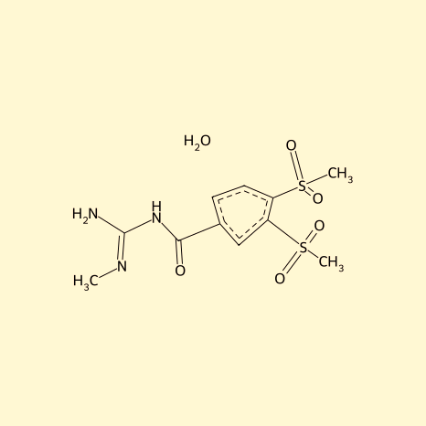 CN=C(N)NC(=O)c1ccc(S(C)(=O)=O)c(S(C)(=O)=O)c1.O